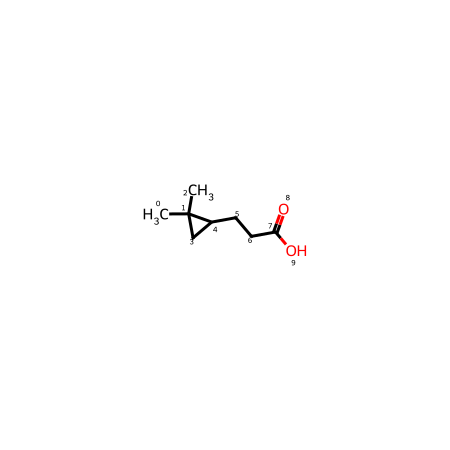 CC1(C)CC1CCC(=O)O